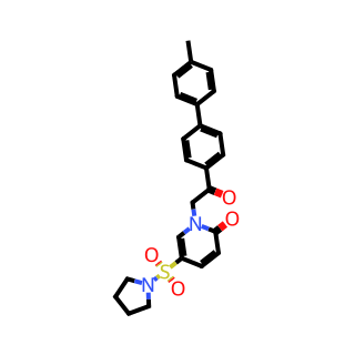 Cc1ccc(-c2ccc(C(=O)Cn3cc(S(=O)(=O)N4CCCC4)ccc3=O)cc2)cc1